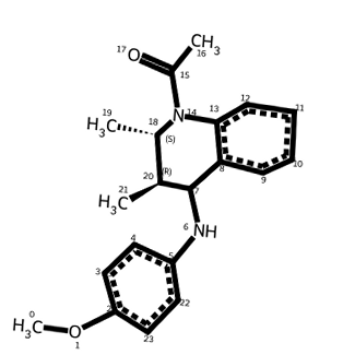 COc1ccc(NC2c3ccccc3N(C(C)=O)[C@@H](C)[C@@H]2C)cc1